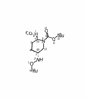 CCCCON[C@@H]1CC[C@@H](C(=O)O)N(C(=O)OC(C)(C)C)C1